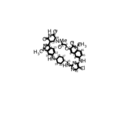 CNC(=O)COc1cc2cc(Nc3nc(NC[C@H]4CC[C@H](Nc5ccc6c(C7CCC(=O)NC7=O)nn(C)c6c5)CC4)ncc3Cl)ccc2n(C)c1=O